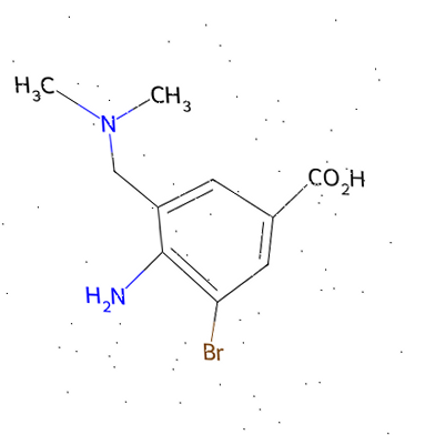 CN(C)Cc1cc(C(=O)O)cc(Br)c1N